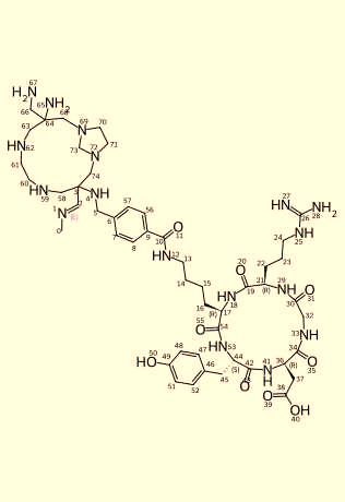 C/N=C/C1(NCc2ccc(C(=O)NCCCC[C@H]3NC(=O)[C@@H](CCCNC(=N)N)NC(=O)CNC(=O)[C@@H](CC(=O)O)NC(=O)[C@H](Cc4ccc(O)cc4)NC3=O)cc2)CNCCNCC(N)(CN)CN2CCN(C2)C1